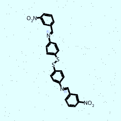 O=[N+]([O-])c1cccc(/C=N/c2ccc(SSc3ccc(/N=C/c4cccc([N+](=O)[O-])c4)cc3)cc2)c1